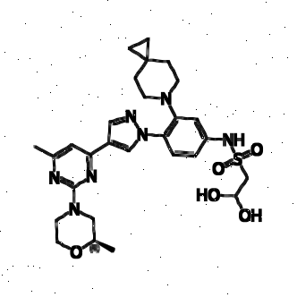 Cc1cc(-c2cnn(-c3ccc(NS(=O)(=O)CC(O)O)cc3N3CCC4(CC3)CC4)c2)nc(N2CCO[C@H](C)C2)n1